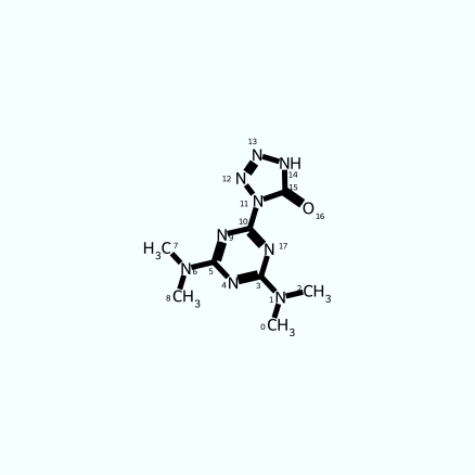 CN(C)c1nc(N(C)C)nc(-n2nn[nH]c2=O)n1